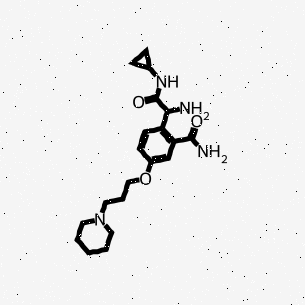 NC(=O)c1cc(OCCCN2CCCCC2)ccc1C(N)C(=O)NC1CC1